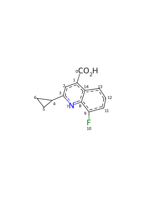 O=C(O)c1cc(C2CC2)nc2c(F)cccc12